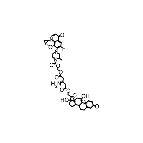 COc1c(N2CCN(C(=O)OCOC(=O)C[C@H](N)CC(=O)OCC(=O)[C@]3(O)CCC4C5CCC6=CC(=O)C=C[C@@]6(C)C5[C@H](O)C[C@]43C)C(C)C2)c(F)cc2c(=O)ccn(C3CC3)c12